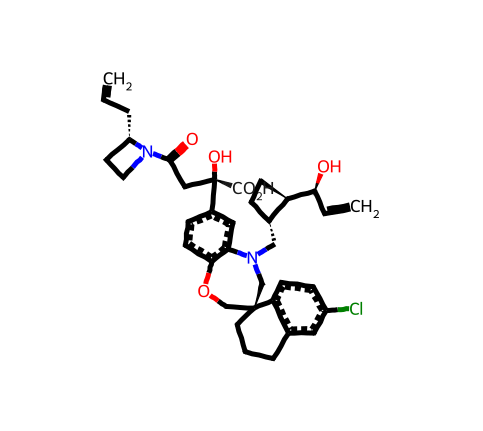 C=CC[C@H]1CCN1C(=O)C[C@@](O)(C(=O)O)c1ccc2c(c1)N(C[C@@H]1CC[C@H]1[C@@H](O)C=C)C[C@@]1(CCCc3cc(Cl)ccc31)CO2